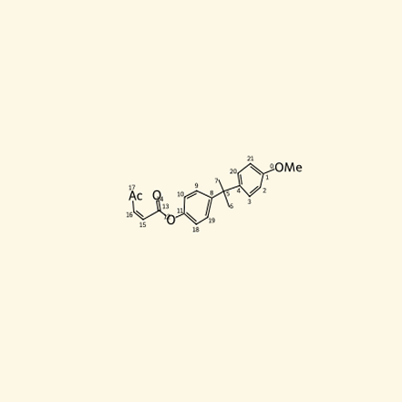 COc1ccc(C(C)(C)c2ccc(OC(=O)/C=C\C(C)=O)cc2)cc1